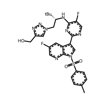 Cc1ccc(S(=O)(=O)n2cc(-c3ncc(F)c(N[C@H](Cn4cc(CO)nn4)C(C)(C)C)n3)c3cc(F)cnc32)cc1